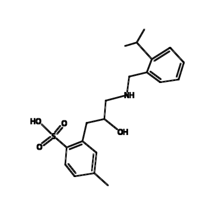 Cc1ccc(S(=O)(=O)O)c(CC(O)CNCc2ccccc2C(C)C)c1